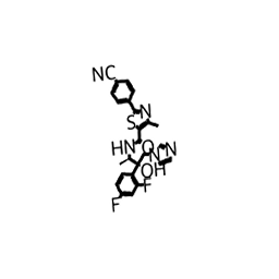 Cc1nc(-c2ccc(C#N)cc2)sc1C(=O)N[C@H](C)[C@](O)(Cn1ccnc1)c1ccc(F)cc1F